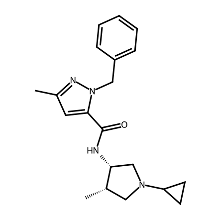 Cc1cc(C(=O)N[C@@H]2CN(C3CC3)C[C@@H]2C)n(Cc2ccccc2)n1